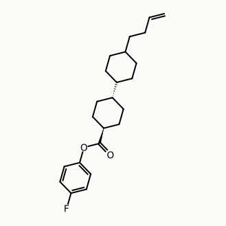 C=CCCC1CCC([C@H]2CC[C@H](C(=O)Oc3ccc(F)cc3)CC2)CC1